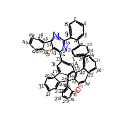 c1ccc(-c2ccccc2-c2nc(-c3ccc4c(c3)-c3ccccc3C43c4ccccc4Oc4cc5ccccc5cc43)c3sc4ccccc4c3n2)cc1